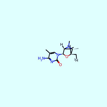 [2H]C[C@@]12O[C@@H](n3cc(C)c(N)nc3=O)[C@@H]([C@@H]1C)N(C)[C@@H]2C